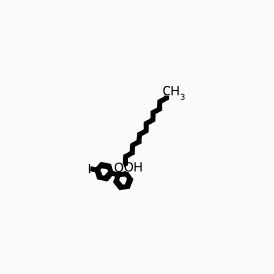 CCCCCCCCCCCCCCOC1(c2ccc(I)cc2)C=CC=CC1O